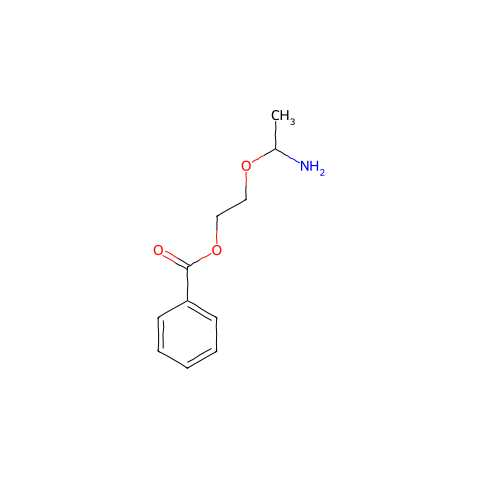 CC(N)OCCOC(=O)c1ccccc1